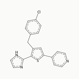 Clc1ccc(Cc2cc(-c3ccncc3)sc2-c2ncc[nH]2)cc1